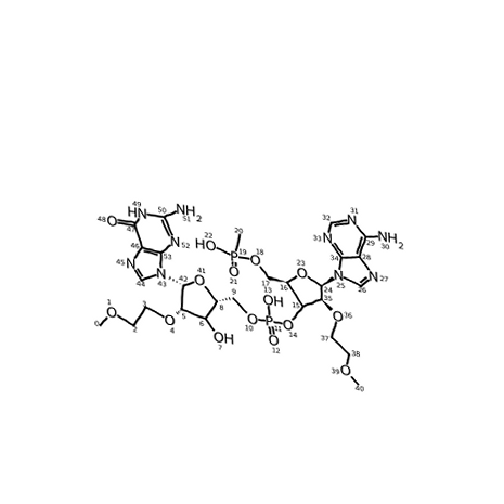 COCCO[C@H]1C(O)[C@@H](COP(=O)(O)OC2[C@@H](COP(C)(=O)O)O[C@@H](n3cnc4c(N)ncnc43)[C@H]2OCCOC)O[C@H]1n1cnc2c(=O)[nH]c(N)nc21